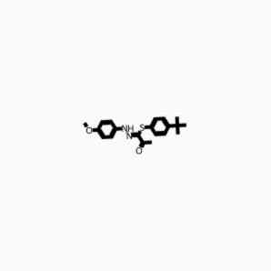 COc1ccc(NN=C(Sc2ccc(C(C)(C)C)cc2)C(C)=O)cc1